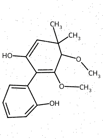 COC1=C(c2ccccc2O)C(O)=CC(C)(C)C1OC